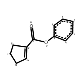 O=C(Oc1ccccc1)C1=CCCC1